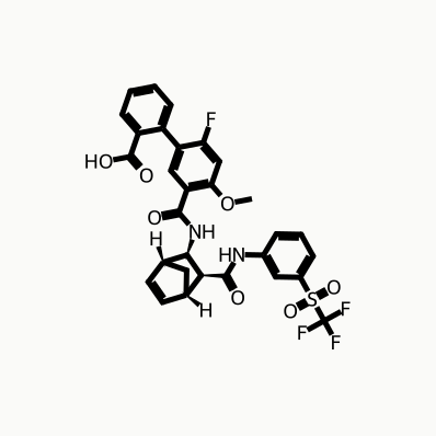 COc1cc(F)c(-c2ccccc2C(=O)O)cc1C(=O)N[C@H]1[C@@H](C(=O)Nc2cccc(S(=O)(=O)C(F)(F)F)c2)[C@@H]2C=C[C@H]1C2